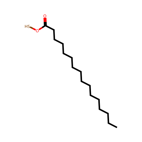 CCCCCCCCCCCCCCCC(=O)OS